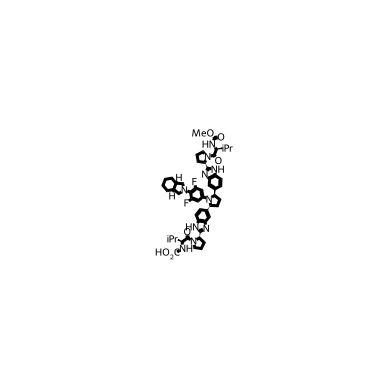 COC(=O)N[C@H](C(=O)N1CCC[C@H]1c1nc2cc([C@H]3CC[C@H](c4ccc5[nH]c([C@@H]6CCCN6C(=O)[C@@H](NC(=O)O)C(C)C)nc5c4)N3c3cc(F)c(N4C[C@H]5CCCC[C@H]5C4)c(F)c3)ccc2[nH]1)C(C)C